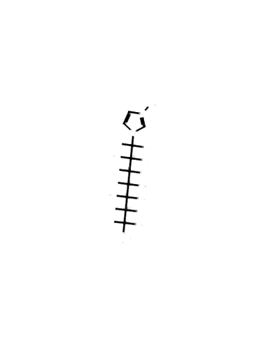 CC(C)(C)[n+]1ccn(C(F)(F)C(F)(F)C(F)(F)C(F)(F)C(F)(F)C(F)(F)C(F)(F)C(F)(F)F)c1